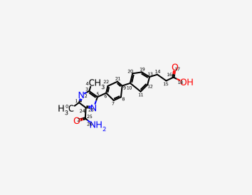 Cc1nc(C)c(-c2ccc(-c3ccc(CCC(=O)O)cc3)cc2)nc1C(N)=O